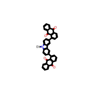 CCn1c2ccc(-c3cccc4c3C(=O)c3ccccc3C4=O)cc2c2cc(-c3cccc4c3C(=O)c3ccccc3C4=O)ccc21